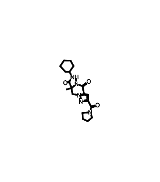 CN1C(=O)c2cc(C(=O)N3CCCC3)nn2CC1(C)C(=O)NC1CCCCC1